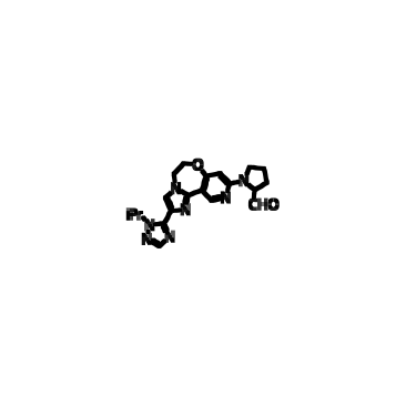 CC(C)n1ncnc1-c1cn2c(n1)-c1cnc(N3CCCC3C=O)cc1OCC2